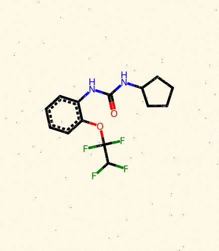 O=C(Nc1ccccc1OC(F)(F)C(F)F)NC1CCCC1